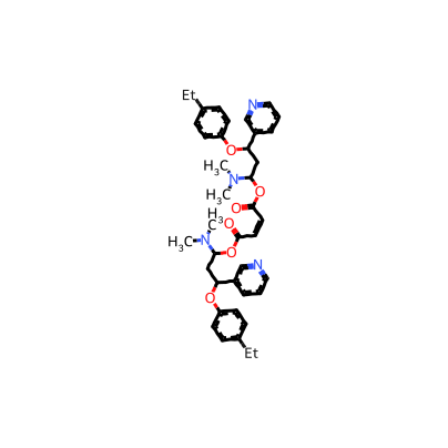 CCc1ccc(OC(CC(OC(=O)/C=C\C(=O)OC(CC(Oc2ccc(CC)cc2)c2cccnc2)N(C)C)N(C)C)c2cccnc2)cc1